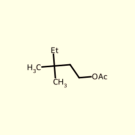 CCC(C)(C)CCOC(C)=O